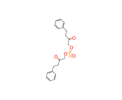 O=C(CCc1ccccc1)CO[PH](=O)OCC(=O)CCc1ccccc1